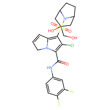 O=C(Nc1ccc(F)c(F)c1)c1c(Cl)c(S(=O)(=O)N2C3CCC2CC(O)(CO)C3)c2n1CC=C2